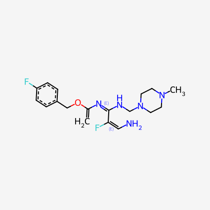 C=C(/N=C(NCN1CCN(C)CC1)\C(F)=C/N)OCc1ccc(F)cc1